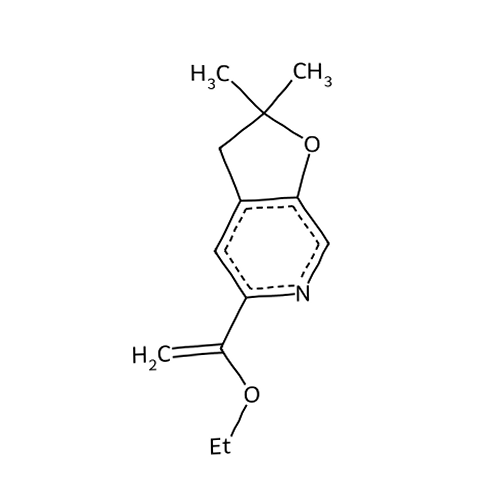 C=C(OCC)c1cc2c(cn1)OC(C)(C)C2